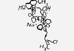 CC[C@H](C)C(=O)O[C@H]1C[C@H](O)C=C2C=C[C@H](C)[C@H](CC[C@@H](O)C[C@@H]([O-])CC(=O)OC(C(=O)OCC#CCN(CC)CCCl)(c3ccccc3)C3CCCCC3)[C@H]21.[Na+]